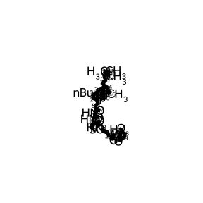 CCCCC1=CC(CCC(=O)NC(=O)NC(CS(=O)(=O)O)C(=O)NCCCCC(=O)ON2C(=O)CCC2=O)=[N+]2C1=Cc1c(CCC[N+](C)(C)C)cc(C)n1[B-]2(F)F